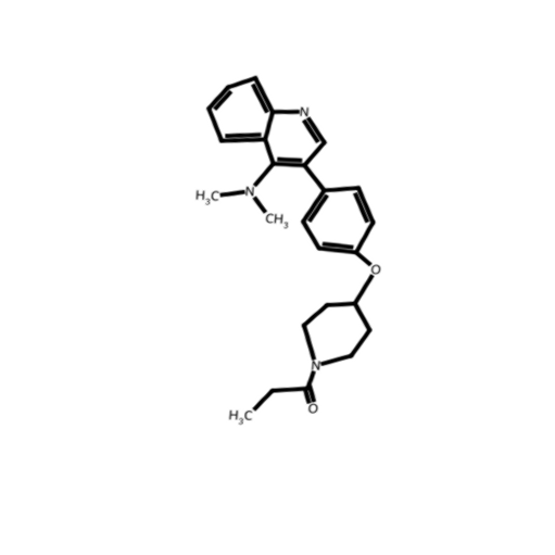 CCC(=O)N1CCC(Oc2ccc(-c3cnc4ccccc4c3N(C)C)cc2)CC1